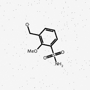 COc1c(C[O])cccc1S(N)(=O)=O